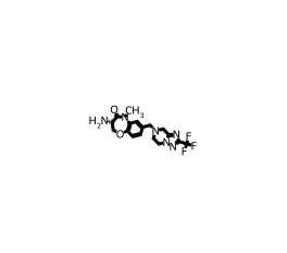 CN1C(=O)[C@@H](N)COc2ccc(CN3CCn4nc(C(F)(F)F)nc4C3)cc21